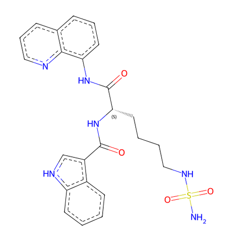 NS(=O)(=O)NCCCC[C@H](NC(=O)c1c[nH]c2ccccc12)C(=O)Nc1cccc2cccnc12